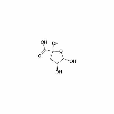 O=C(O)[C@]1(O)C[C@H](O)C(O)O1